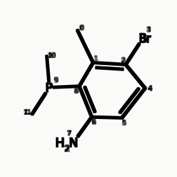 Cc1c(Br)ccc(N)c1P(C)C